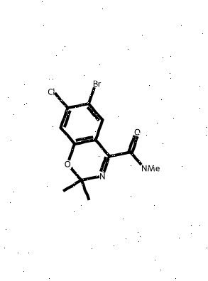 CNC(=O)C1=NC(C)(C)Oc2cc(Cl)c(Br)cc21